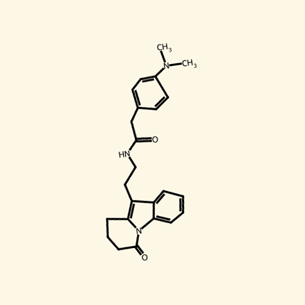 CN(C)c1ccc(CC(=O)NCCc2c3n(c4ccccc24)C(=O)CCC3)cc1